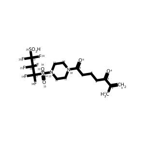 C=C(C)C(=O)CCCC(=O)N1CCN(S(=O)(=O)C(F)(F)C(F)(F)C(F)(F)S(=O)(=O)O)CC1